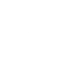 [Cl][Ca][Cl].[Cl][Fe]